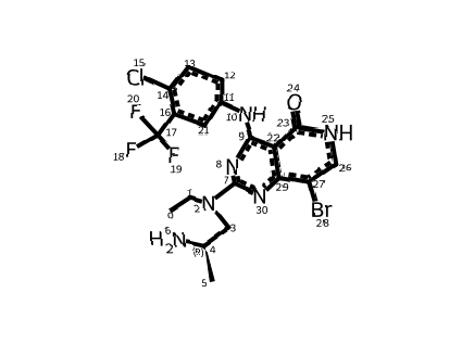 CCN(C[C@@H](C)N)c1nc(Nc2ccc(Cl)c(C(F)(F)F)c2)c2c(=O)[nH]cc(Br)c2n1